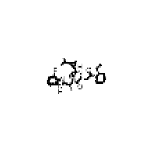 CC[C@H]1CCCCN1C(=O)C[C@H](NC(=O)C1CC1C(C)C)C(=O)N[C@@H](C)c1nc2c(F)cccc2[nH]1